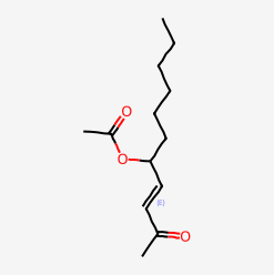 CCCCCCC(/C=C/C(C)=O)OC(C)=O